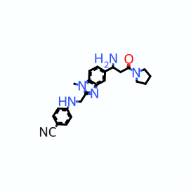 Cn1c(CNc2ccc(C#N)cc2)nc2cc(C(N)CC(=O)N3CCCC3)ccc21